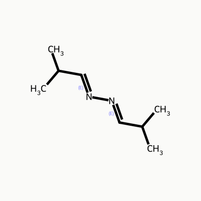 CC(C)/C=N/N=C/C(C)C